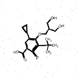 CC(C)(C)c1c(F)c(C(=O)O)cc(C2CC2)c1OCC(CO)CO